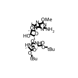 COc1nc(N)nc2c1nc(I)n2[C@@H]1O[C@H](COP(=O)(N[C@@H](C)C(=O)OCC(C)(C)C)N[C@@H](C)C(=O)OCC(C)(C)C)[C@@H](O)[C@@]1(C)O